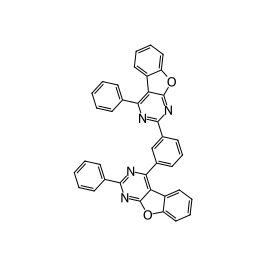 c1ccc(-c2nc(-c3cccc(-c4nc(-c5ccccc5)c5c(n4)oc4ccccc45)c3)c3c(n2)oc2ccccc23)cc1